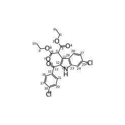 CCOC(=O)C(C(=O)OCC)c1c(C(=O)c2ccc(Cl)cc2)[nH]c2cc(Cl)ccc12